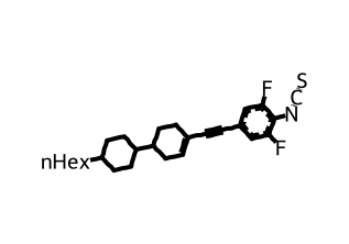 CCCCCCC1CCC(C2CC=C(C#Cc3cc(F)c(N=C=S)c(F)c3)CC2)CC1